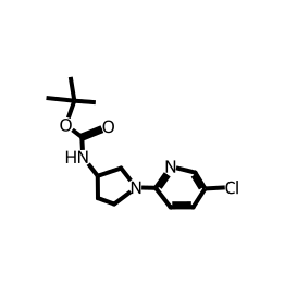 CC(C)(C)OC(=O)NC1CCN(c2ccc(Cl)cn2)C1